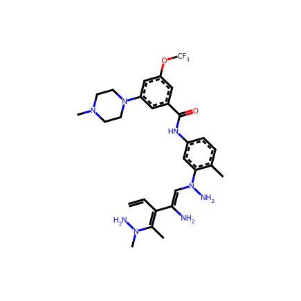 C=CC(/C(N)=C/N(N)c1cc(NC(=O)c2cc(OC(F)(F)F)cc(N3CCN(C)CC3)c2)ccc1C)=C(/C)N(C)N